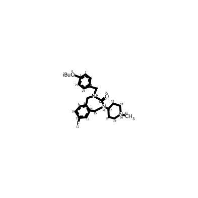 CC(C)COc1ccc(CN2Cc3ccc(F)cc3CN(C3CCN(C)CC3)C2=O)cc1